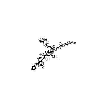 COCCOC(=O)OCOP(=O)(CC(=O)N(C)C[C@@H](OC)[C@@H](O)[C@@H](O)n1cnc2c(NC3CCCC3)nc(Cl)nc21)OCOC(=O)OCCOC